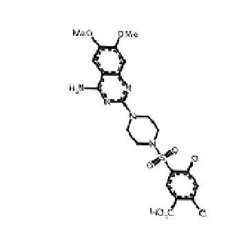 COc1cc2nc(N3CCN(S(=O)(=O)c4cc(C(=O)O)c(Cl)cc4Cl)CC3)nc(N)c2cc1OC